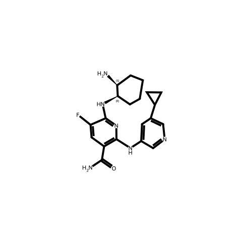 NC(=O)c1cc(F)c(N[C@@H]2CCCC[C@@H]2N)nc1Nc1cncc(C2CC2)c1